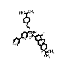 CC(O)C1CCN(CC[C@@H](NC(=O)c2cc(F)c3nc4c(cc3c2)C[C@](F)(C(C)C)CC4)c2ccc(-c3ccnnc3)nc2)CC1